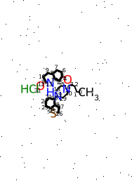 CCCC(Oc1ccc2ccc(=O)[nH]c2c1)N1CCN(c2cccc3sccc23)CC1.Cl